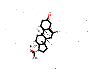 CC(=O)[C@H]1CC[C@H]2[C@@H]3CC(F)=C4CC(O)CC[C@]4(C)[C@H]3CC[C@]12C